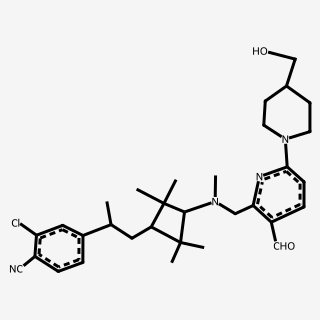 CC(CC1C(C)(C)C(N(C)Cc2nc(N3CCC(CO)CC3)ccc2C=O)C1(C)C)c1ccc(C#N)c(Cl)c1